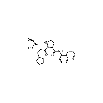 O=CN(O)C[C@@H](CC1CCCC1)C(=O)N1NCC[C@H]1C(=O)Nc1cccc2ncccc12